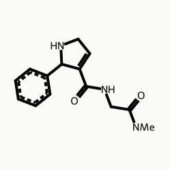 CNC(=O)CNC(=O)C1=CCNC1c1ccccc1